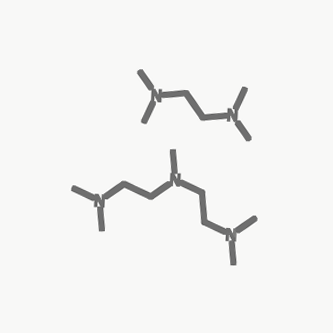 CN(C)CCN(C)C.CN(C)CCN(C)CCN(C)C